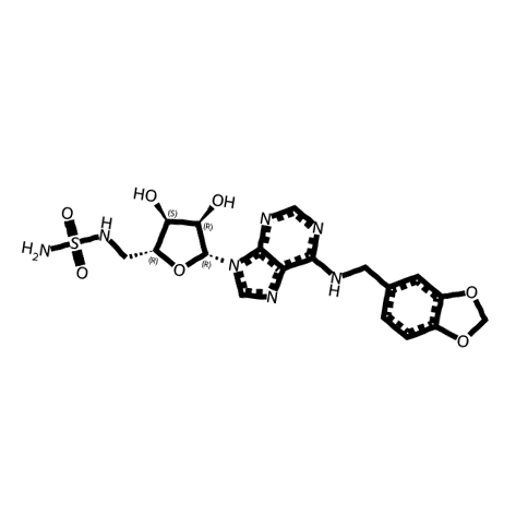 NS(=O)(=O)NC[C@H]1O[C@@H](n2cnc3c(NCc4ccc5c(c4)OCO5)ncnc32)[C@H](O)[C@@H]1O